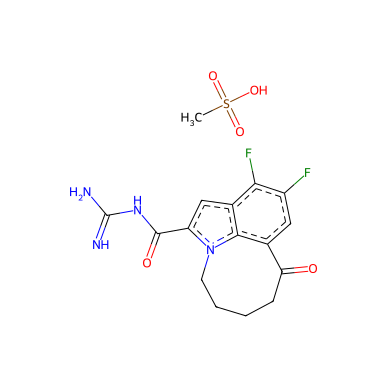 CS(=O)(=O)O.N=C(N)NC(=O)c1cc2c(F)c(F)cc3c2n1CCCCC3=O